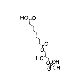 O=C(O)CCCCCCCC(=O)OCC(O)COP(=O)(O)O